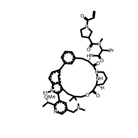 C=CC(=O)N1CCC(C(=O)N(C)C(C(=O)N[C@H]2Cc3cccc(c3)-c3ccc4c(c3)c(c(-c3cc(CN(C)C)cnc3[C@H](C)OC)n4CC)CC(C)(C)COC(=O)[C@@H]3CCCN(N3)C2=O)C(C)C)C1